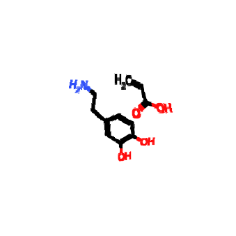 C=CC(=O)O.NCCc1ccc(O)c(O)c1